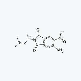 C[C@@H](CN(C)C)N1C(=O)c2cc(N)c([N+](=O)[O-])cc2C1=O